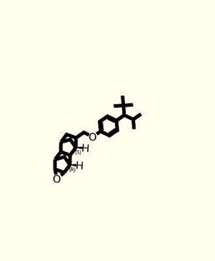 CC(C)C(c1ccc(OCC2CC3C[C@H]2C2C3C3C[C@H]2C2OC32)cc1)C(C)(C)C